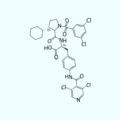 O=C(Nc1ccc(C[C@H](NC(=O)C2[C@H](C3CCCCC3)CCN2S(=O)(=O)c2cc(Cl)cc(Cl)c2)C(=O)O)cc1)c1c(Cl)cncc1Cl